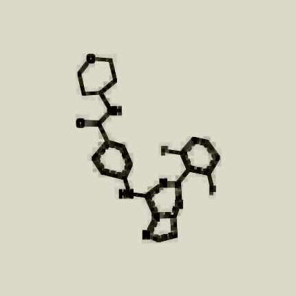 O=C(NC1CCOCC1)c1ccc(Nc2nc(-c3c(F)cccc3F)nc3ccnn23)cc1